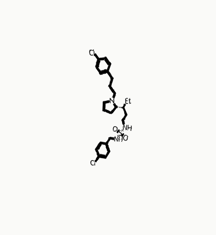 CCC(CCNS(=O)(=O)NCc1ccc(Cl)cc1)[C@@H]1CCCN1CCCc1ccc(Cl)cc1